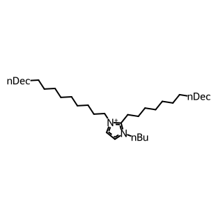 CCCCCCCCCCCCCCCCCCC[n+]1ccn(CCCC)c1CCCCCCCCCCCCCCCCC